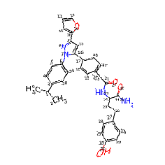 CC(C)c1ccc(-n2nc(-c3ccco3)cc2-c2ccc(C(=O)NC(CCc3ccc(O)cc3)C(N)=O)cc2)cc1